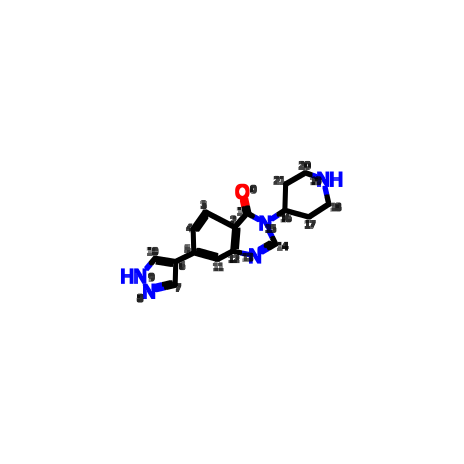 O=c1c2ccc(-c3cn[nH]c3)cc2ncn1C1CCNCC1